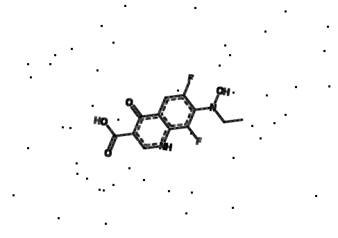 CCN(O)c1c(F)cc2c(=O)c(C(=O)O)c[nH]c2c1F